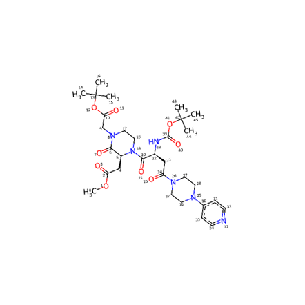 COC(=O)C[C@H]1C(=O)N(CC(=O)OC(C)(C)C)CCN1C(=O)[C@H](CC(=O)N1CCN(c2ccncc2)CC1)NC(=O)OC(C)(C)C